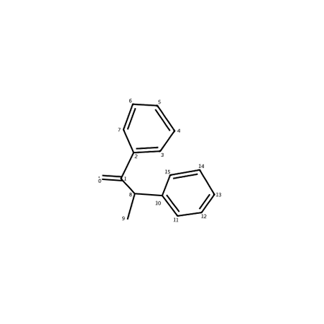 [CH]=C(c1ccccc1)C(C)c1ccccc1